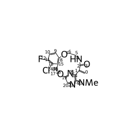 C=C1C(=O)NCCOc2ccc(F)c(Cl)c2[C@@H](C)Oc2cnc(NC)c1n2